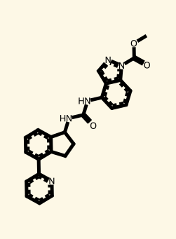 COC(=O)n1ncc2c(NC(=O)NC3CCc4c(-c5ccccn5)cccc43)cccc21